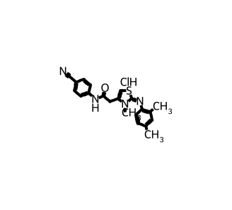 Cc1ccc(/N=c2/scc(CC(=O)Nc3ccc(C#N)cc3)n2C)c(C)c1.Cl